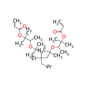 C=CC(=O)OC(C)(C)C(C)OC(C)(C)CC(CC)(CC(C)C)CC(C)(C)OC(C)C(C)(C)OC(=O)C=C